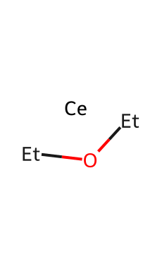 CCOCC.[Ce]